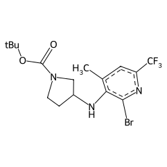 Cc1cc(C(F)(F)F)nc(Br)c1NC1CCN(C(=O)OC(C)(C)C)C1